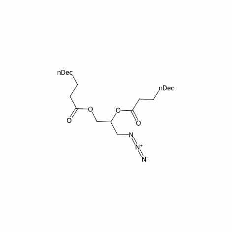 CCCCCCCCCCCCC(=O)OCC(CN=[N+]=[N-])OC(=O)CCCCCCCCCCCC